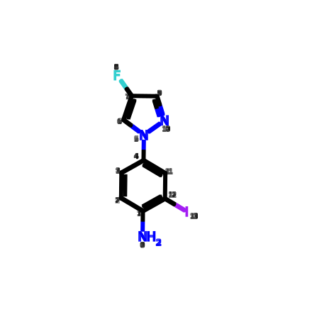 Nc1ccc(-n2cc(F)cn2)cc1I